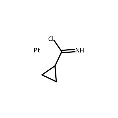 N=C(Cl)C1CC1.[Pt]